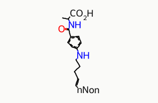 CCCCCCCCC/C=C/CCCNc1ccc(C(=O)NC(C)C(=O)O)cc1